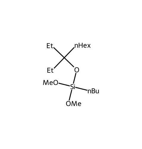 CCCCCCC(CC)(CC)O[Si](CCCC)(OC)OC